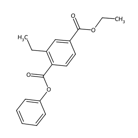 CCOC(=O)c1ccc(C(=O)Oc2ccccc2)c(CC)c1